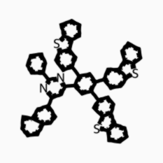 c1ccc(-c2nc(-c3ccc4ccccc4c3)cc(-c3cc(-c4ccc5c(c4)sc4ccccc45)c(-c4ccc5sc6ccccc6c5c4)cc3-c3ccc4sc5ccccc5c4c3)n2)cc1